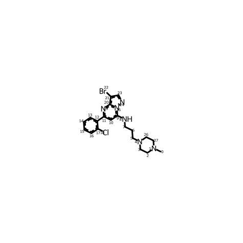 CN1CCN(CCCNc2cc(-c3ccccc3Cl)nc3c(Br)cnn23)CC1